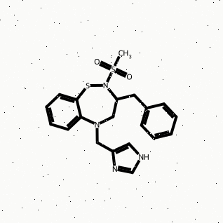 CS(=O)(=O)N1Sc2ccccc2N(Cc2c[nH]cn2)CC1Cc1ccccc1